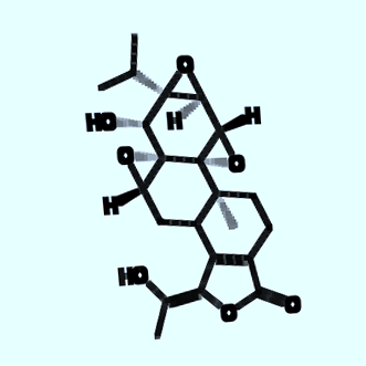 C/C(O)=C1\OC(=O)C2=C1C1C[C@@H]3O[C@@]34[C@H](O)[C@@]3(C(C)C)O[C@H]3[C@@H]3O[C@@]34[C@@]1(C)CC2